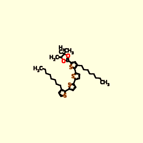 C=C1OB(c2cc(CCCCCCCC)c(-c3ccc(-c4ccc(-c5sccc5CCCCCCCC)s4)s3)s2)OC1(C)C